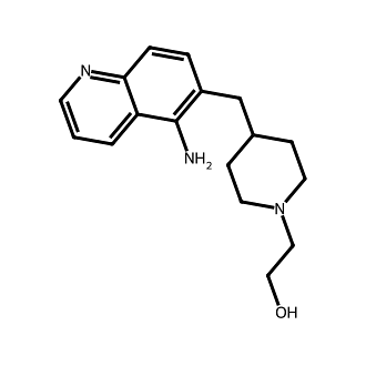 Nc1c(CC2CCN(CCO)CC2)ccc2ncccc12